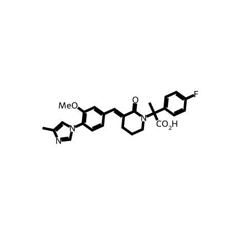 COc1cc(C=C2CCCN(C(C)(C(=O)O)c3ccc(F)cc3)C2=O)ccc1-n1cnc(C)c1